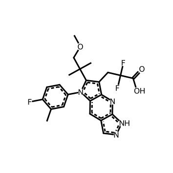 COCC(C)(C)c1c(CC(F)(F)C(=O)O)c2nc3[nH]ncc3cc2n1-c1ccc(F)c(C)c1